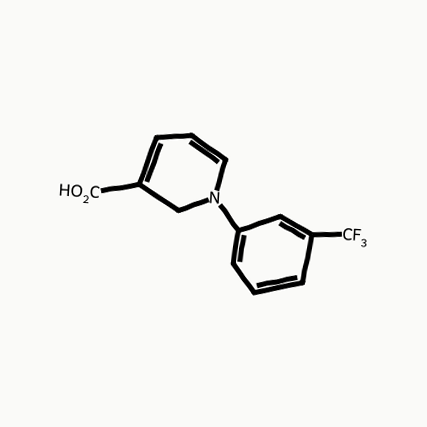 O=C(O)C1=CC=CN(c2cccc(C(F)(F)F)c2)C1